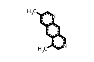 Cc1cnc2cc3cncc(C)c3cc2c1